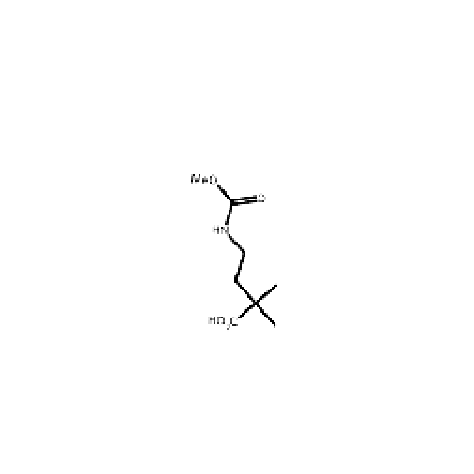 COC(=O)NCCC(C)(C)C(=O)O